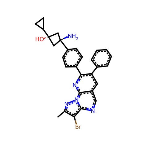 Cc1nn2c(ncc3cc(-c4ccccc4)c(-c4ccc([C@]5(N)C[C@@](O)(C6CC6)C5)cc4)nc32)c1Br